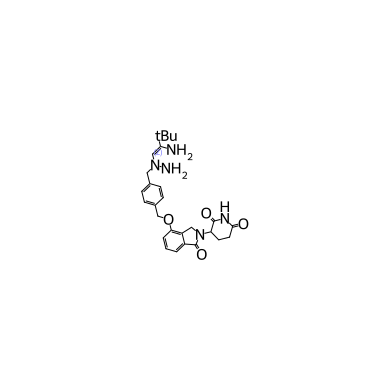 CC(C)(C)/C(N)=C/N(N)Cc1ccc(COc2cccc3c2CN(C2CCC(=O)NC2=O)C3=O)cc1